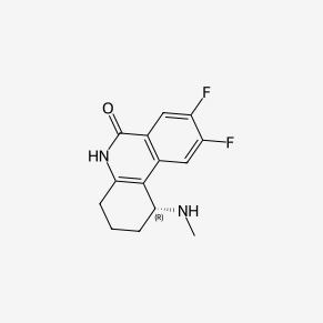 CN[C@@H]1CCCc2[nH]c(=O)c3cc(F)c(F)cc3c21